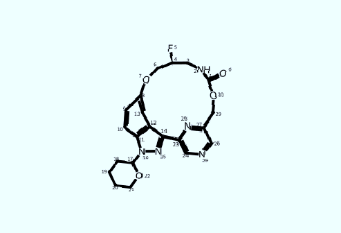 O=C1NC[C@H](F)COc2ccc3c(c2)c(nn3C2CCCCO2)-c2cncc(n2)CO1